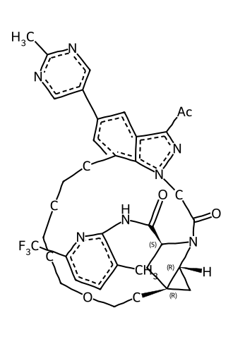 CC(=O)c1nn2c3c(cc(-c4cnc(C)nc4)cc13)CCCCCCOCC[C@@]13C[C@@H](C(=O)Nc4nc(C(F)(F)F)ccc4C)N(C(=O)C2)[C@@H]1C3